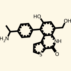 CC(N)c1ccc(-c2c(O)cc(CO)c3[nH]c(=O)c4sccc4c23)cc1